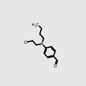 CCCCN(CCCl)c1ccc(C=O)cc1